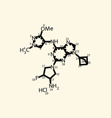 COc1nn(C)cc1Nc1nc(N2CC(N)C(F)C2)nc2c1ncn2C12CC(C1)C2.Cl